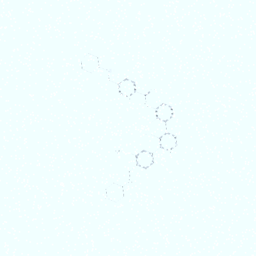 COc1cc(-c2nccc(-c3cccc(NC(=O)c4ccc(CNC5CCOCC5)cn4)c3C)c2Cl)ccc1CNC1CCOCC1